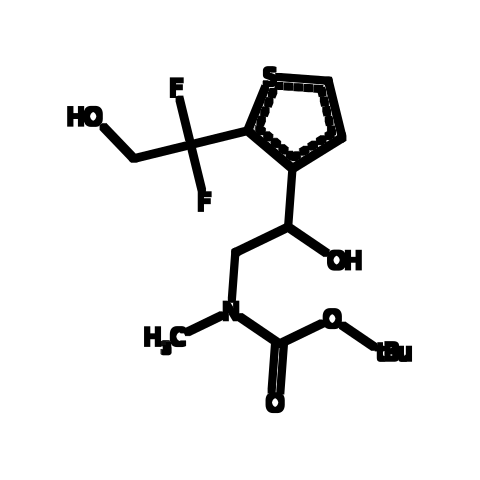 CN(CC(O)c1ccsc1C(F)(F)CO)C(=O)OC(C)(C)C